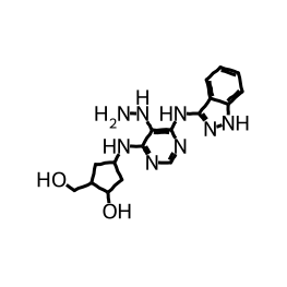 NNc1c(Nc2n[nH]c3ccccc23)ncnc1NC1CC(O)C(CO)C1